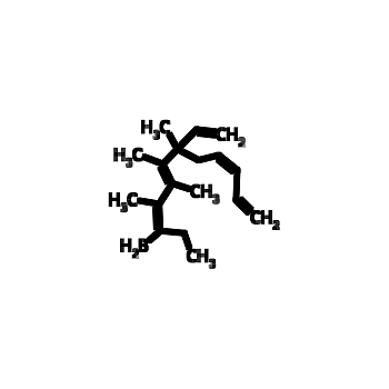 B/C(CC)=C(C)/C(C)=C(\C)C(C)(C=C)C/C=C\C=C